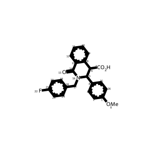 COc1ccc(C2C(C(=O)O)c3ccccc3C(=O)N2Cc2ccc(F)cc2)cc1